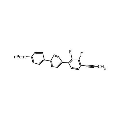 CC#Cc1ccc(-c2ccc(-c3ccc(CCCCC)cc3)cc2)c(F)c1F